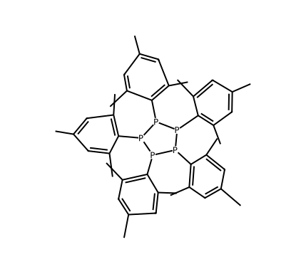 Cc1cc(C)c(-p2p(-c3c(C)cc(C)cc3C)p(-c3c(C)cc(C)cc3C)p(-c3c(C)cc(C)cc3C)p2-c2c(C)cc(C)cc2C)c(C)c1